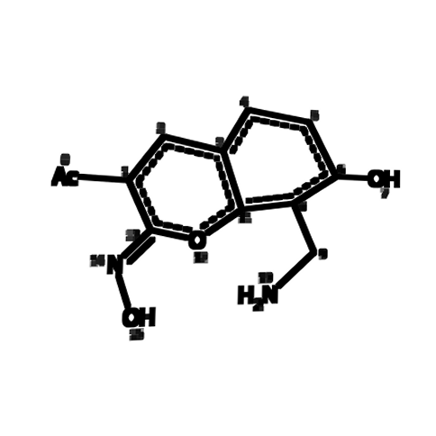 CC(=O)c1cc2ccc(O)c(CN)c2oc1=NO